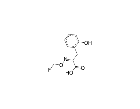 O=C(O)C(Cc1ccccc1O)=NOCF